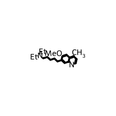 CCN(CC)CCCCCc1cc2nccc(C)c2cc1OC